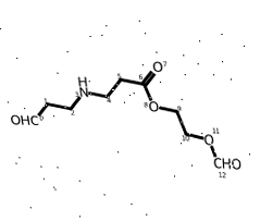 O=CCCNCCC(=O)OCCOC=O